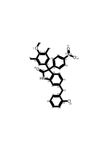 COc1c(C)cc(C2(c3ccc([N+](=O)[O-])cc3)C(=O)Nc3cc(Cc4ccccc4Cl)ccc32)cc1C